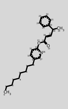 CCCCCCCCCc1ccc(OC(=O)/C=C/C(C)c2ccccc2)nc1